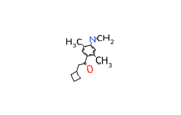 C=Nc1cc(C)c(C(=O)CC2CCC2)cc1C